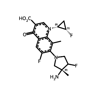 Cc1c(N2CC(F)[C@](C)(N)C2)c(F)cc2c(=O)c(C(=O)O)cn([C@@H]3C[C@@H]3F)c12